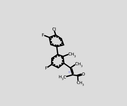 CC(=O)/C(C)=C(\C)c1cc(F)cc(-c2ccc(Cl)c(F)c2)c1C